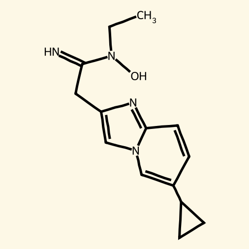 CCN(O)C(=N)Cc1cn2cc(C3CC3)ccc2n1